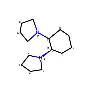 C1CC[C@@H](N2CCCC2)C(N2CCCC2)C1